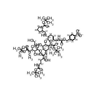 C[C@@H]([C@@H](O)[C@H](OCCO)O[C@@H]1[C@@H](O)[C@H](O[C@H]2OC(CNC(=O)OCc3ccc([N+](=O)[O-])cc3)=CC[C@H]2NCC2CCCN2C(=O)OC(C)(C)C)[C@@H](NC(=O)OC(C)(C)C)C[C@H]1NC(=O)[C@@H](O)CCNC(=O)OC(C)(C)C)N(C)C(=O)OC(C)(C)C